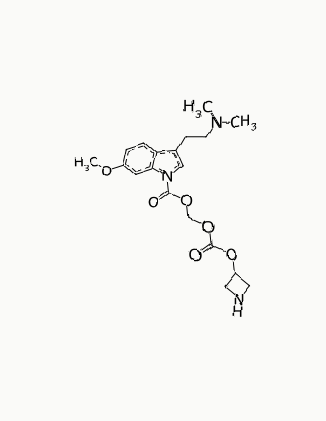 COc1ccc2c(CCN(C)C)cn(C(=O)OCOC(=O)OC3CNC3)c2c1